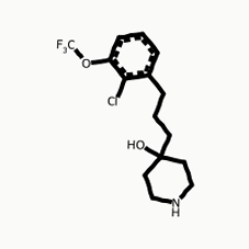 OC1(CCCc2cccc(OC(F)(F)F)c2Cl)CCNCC1